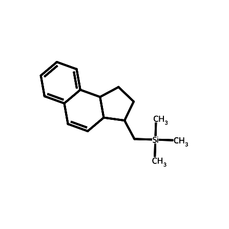 C[Si](C)(C)CC1CCC2c3ccccc3C=CC12